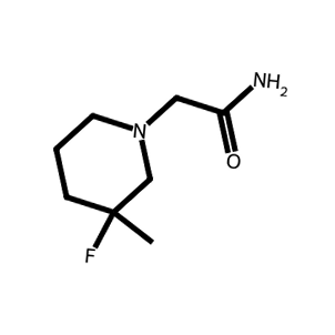 CC1(F)CCCN(CC(N)=O)C1